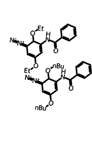 CCCCOC1=CC(=[N+]=[N-])C(OCCCC)C(NC(=O)c2ccccc2)=C1.CCOC1=CC(=[N+]=[N-])C(OCC)C(NC(=O)c2ccccc2)=C1